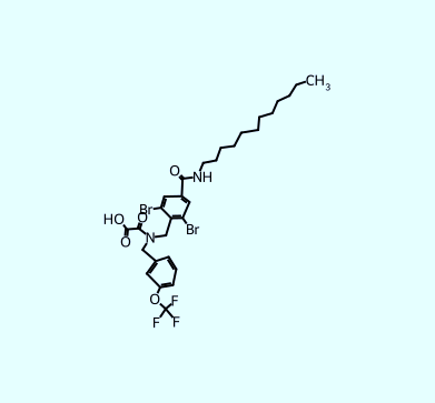 CCCCCCCCCCCCNC(=O)c1cc(Br)c(CN(Cc2cccc(OC(F)(F)F)c2)C(=O)C(=O)O)c(Br)c1